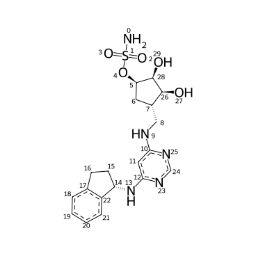 NS(=O)(=O)O[C@@H]1C[C@@H](CNc2cc(N[C@H]3CCc4ccccc43)ncn2)[C@H](O)[C@@H]1O